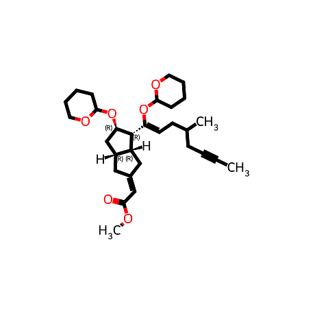 CC#CCC(C)CC=C(OC1CCCCO1)[C@@H]1[C@@H]2CC(=CC(=O)OC)C[C@@H]2C[C@H]1OC1CCCCO1